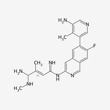 CNC(N)/C(C)=C/C(=N)Nc1cc2cc(-c3cncc(N)c3C)c(F)cc2cn1